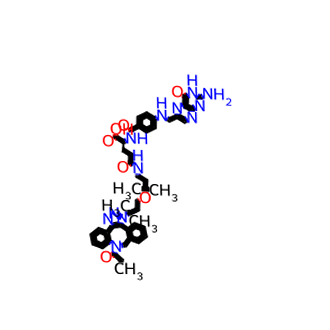 CCC(=O)N1Cc2ccccc2-c2c(nnn2C(C)(C)CCOC(C)(C)CCNC(=O)CC[C@H](NC(=O)c2ccc(NCc3cnc4nc(N)[nH]c(=O)c4n3)cc2)C(=O)O)-c2ccccc21